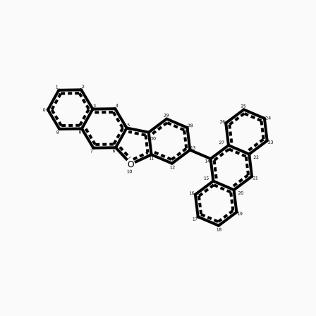 c1ccc2cc3c(cc2c1)oc1cc(-c2c4ccccc4cc4ccccc24)ccc13